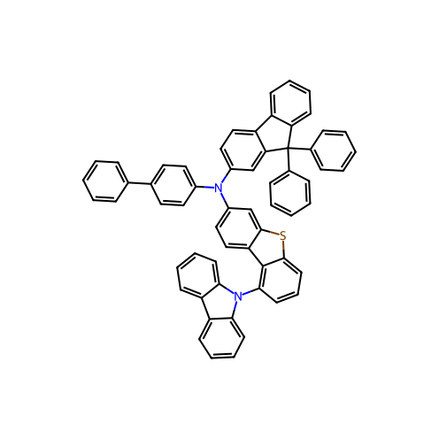 c1ccc(-c2ccc(N(c3ccc4c(c3)C(c3ccccc3)(c3ccccc3)c3ccccc3-4)c3ccc4c(c3)sc3cccc(-n5c6ccccc6c6ccccc65)c34)cc2)cc1